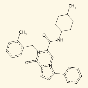 Cc1ccccc1Cn1c(C(=O)NC2CCC(C)CC2)cn2c(-c3ccccc3)ccc2c1=O